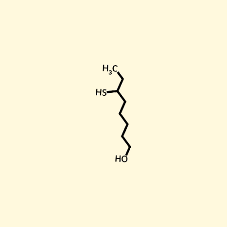 CCC(S)CCCCCO